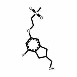 CS(=O)(=O)CCOc1cc(F)c2c(c1)CC(CO)C2